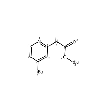 CCC(C)c1ccnc(NC(=O)OC(C)(C)C)c1